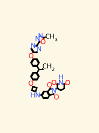 C=CC(c1ccc(Oc2cnc(-c3nnc(C)o3)nc2)cc1)c1ccc(O[C@H]2C[C@H](Nc3ccc4c(c3)C(=O)N(C3CCC(=O)NC3=O)C4=O)C2)cc1